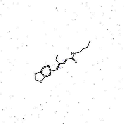 CCCCNC(=O)/C=C/C(=C/c1ccc2c(c1)OCO2)CC